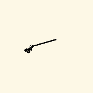 C#CC#CC#CC#CC#CC#CC#CC#CC#CC#CC#COc1cc(C)cc(C(C)(c2ccccc2)c2ccccc2)c1